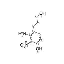 Nc1c(CCCO)ccc(O)c1[N+](=O)[O-]